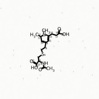 CC(=O)NC(CSCCC1=CC(C)N(C)C(CCC(=O)O)=C1)C(=O)O